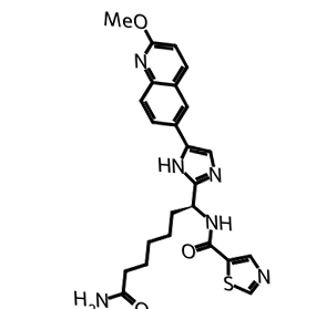 COc1ccc2cc(-c3cnc([C@H](CCCCCC(N)=O)NC(=O)c4cncs4)[nH]3)ccc2n1